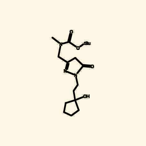 CN(CC1=NN(CCC2(O)CCCC2)C(=O)C1)C(=O)OC(C)(C)C